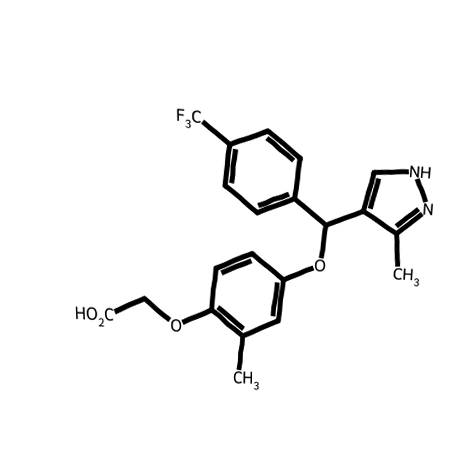 Cc1cc(OC(c2ccc(C(F)(F)F)cc2)c2c[nH]nc2C)ccc1OCC(=O)O